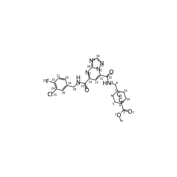 COC(=O)C12CCC(CNC(=O)c3cc(C(=O)NCc4ccc(F)c(Cl)c4)nc4ncnn34)(CC1)CC2